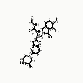 COc1ccc2c(c1F)C(=O)N(C[C@](C)(NC(=O)NC=O)c1cc3nc(N4CCNC(=O)C4)ccc3o1)C2